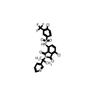 CC(C)(c1cccnc1)N1C(=O)c2c(Cl)ccc(NS(=O)(=O)c3ccc(Cl)c(C(F)(F)F)c3)c2C1=O